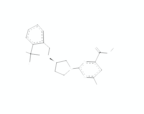 COC(=O)c1cc(C)nc(N2CC[C@@H](OCc3ccccc3C(F)(F)F)C2)n1